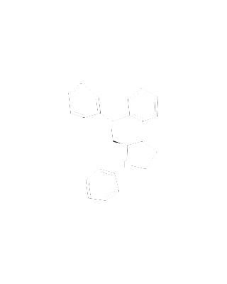 c1ccc(P(C[C@H]2CCC[P@]2c2ccccc2)c2ccccc2)cc1